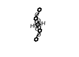 O=C1N[C@@H](Cc2ccc(OCc3ccccc3)cc2)C(=O)N[C@H]1Cc1ccc(OCc2ccccc2)cc1